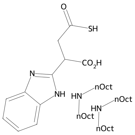 CCCCCCCCNCCCCCCCC.CCCCCCCCNCCCCCCCC.O=C(S)CC(C(=O)O)c1nc2ccccc2[nH]1